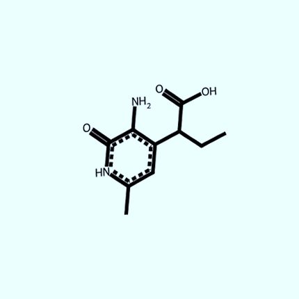 CCC(C(=O)O)c1cc(C)[nH]c(=O)c1N